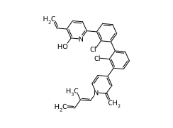 C=C/C(C)=C/N1C=CC(c2cccc(-c3cccc(-c4ccc(C=C)c(O)n4)c3Cl)c2Cl)=CC1=C